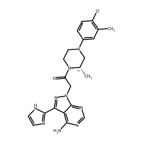 Cc1cc(N2CCN(C(=O)Cn3nc(-c4ncc[nH]4)c4c(N)ncnc43)[C@@H](C)C2)ccc1Cl